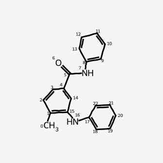 Cc1ccc(C(=O)Nc2ccccc2)cc1Nc1ccccc1